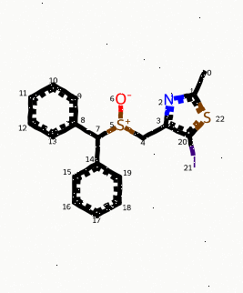 Cc1nc(C[S+]([O-])C(c2ccccc2)c2ccccc2)c(I)s1